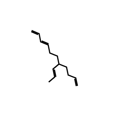 C=CC=CCCC(C=CC)CCC=C